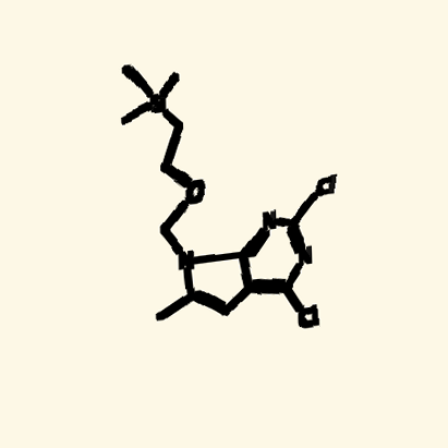 Cc1cc2c(Cl)nc(Cl)nc2n1COCC[Si](C)(C)C